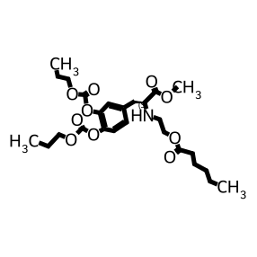 CCCCCC(=O)OCCN[C@@H](Cc1ccc(OC(=O)OCCC)c(OC(=O)OCCC)c1)C(=O)OC